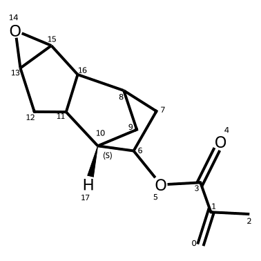 C=C(C)C(=O)OC1CC2C[C@H]1C1CC3OC3C21